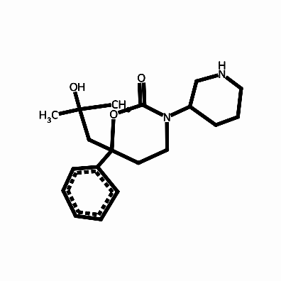 CC(C)(O)CC1(c2ccccc2)CCN(C2CCCNC2)C(=O)O1